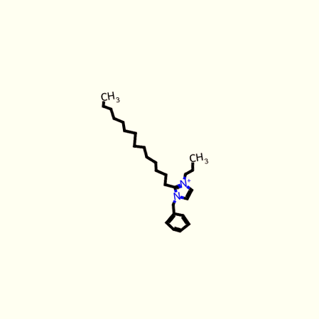 CCCCCCCCCCCCCCc1n(Cc2ccccc2)cc[n+]1CCC